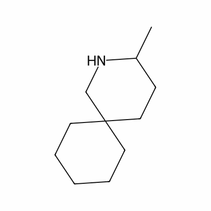 CC1CCC2(CCCCC2)CN1